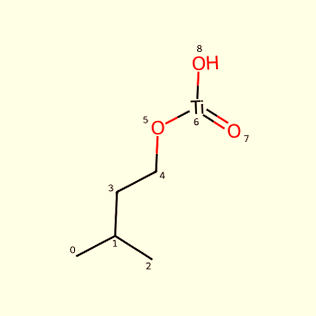 CC(C)CC[O][Ti](=[O])[OH]